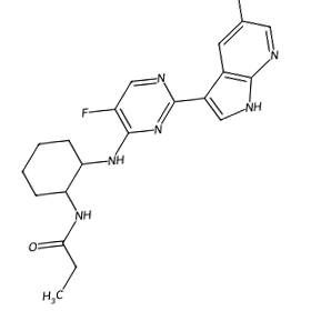 CCC(=O)NC1CCCCC1Nc1nc(-c2c[nH]c3ncc(Cl)cc23)ncc1F